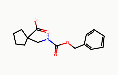 O=C(NCC1(C(=O)O)CCCC1)OCc1ccccc1